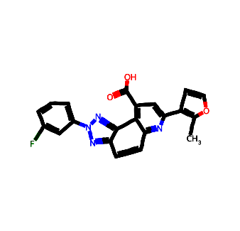 Cc1occc1-c1cc(C(=O)O)c2c(ccc3nn(-c4cccc(F)c4)nc32)n1